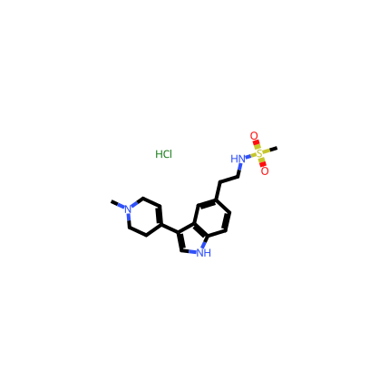 CN1CC=C(c2c[nH]c3ccc(CCNS(C)(=O)=O)cc23)CC1.Cl